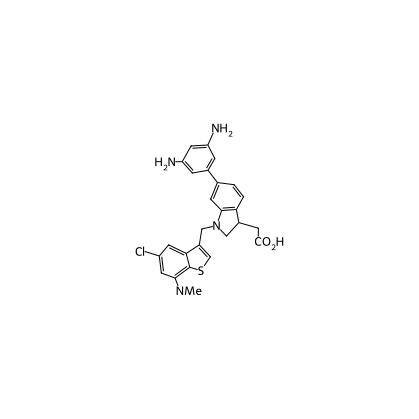 CNc1cc(Cl)cc2c(CN3CC(CC(=O)O)c4ccc(-c5cc(N)cc(N)c5)cc43)csc12